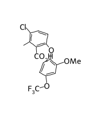 COc1cc(OC(F)(F)F)ccc1Oc1ccc(Cl)c(C)c1C(=O)O